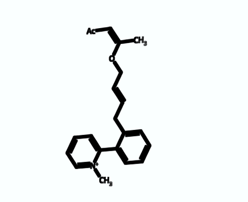 CC(=O)/C=C(/C)OC/C=C/Cc1ccccc1-c1cccc[n+]1C